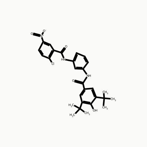 CC(C)(C)c1cc(C(=O)Nc2cccc(NC(=O)c3cc([N+](=O)[O-])ccc3Cl)c2)cc(C(C)(C)C)c1O